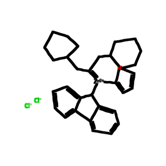 C1=CC[C]([Zr+2](=[C](CC2CCCCC2)CC2CCCCC2)[CH]2c3ccccc3-c3ccccc32)=C1.[Cl-].[Cl-]